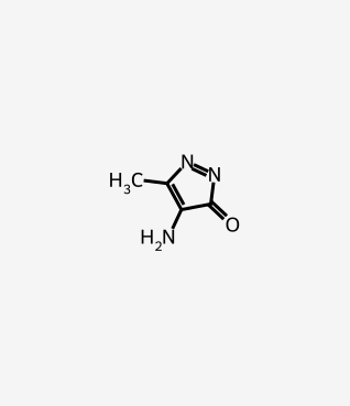 CC1=C(N)C(=O)N=N1